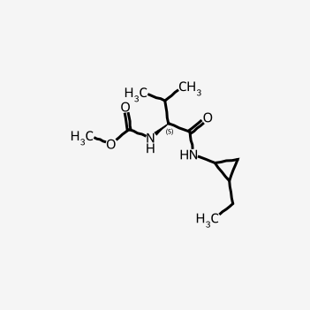 CCC1CC1NC(=O)[C@@H](NC(=O)OC)C(C)C